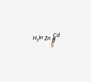 [InH3].[S]=[Cd].[Zn]